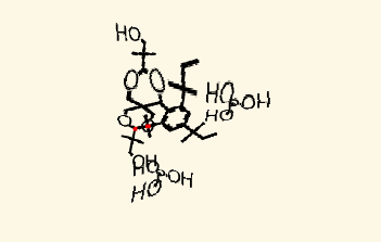 CCC(C)(C)c1cc(C(C)(C)CC)c(C2OC(C(C)(C)CO)OCC23COC(C(C)(C)CO)OC3)c(C(C)(C)CC)c1.OP(O)O.OP(O)O